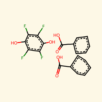 O=C(O)c1ccccc1.O=C(O)c1ccccc1.Oc1c(F)c(F)c(O)c(F)c1F